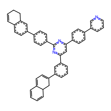 C1=CC2=CC=C(c3cccc(-c4cc(-c5ccc(-c6cccnc6)cc5)nc(-c5ccc(-c6ccc7c(c6)CCC=C7)cc5)n4)c3)CC2C=C1